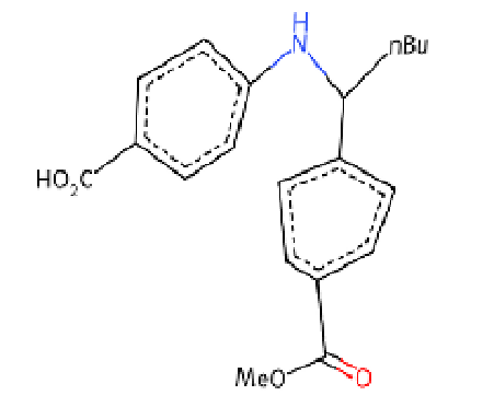 CCCCC(Nc1ccc(C(=O)O)cc1)c1ccc(C(=O)OC)cc1